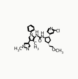 COCC[C@@H]1C[C@@H](NC(=O)Nc2c(C)c(-c3cnn(C)c3)cn2-c2ccccc2)[C@H](c2ccnc(Cl)c2)C1